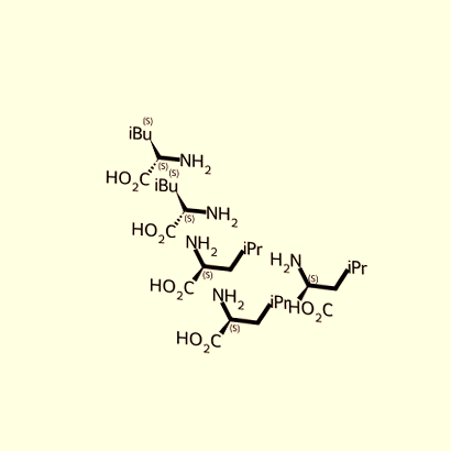 CC(C)C[C@H](N)C(=O)O.CC(C)C[C@H](N)C(=O)O.CC(C)C[C@H](N)C(=O)O.CC[C@H](C)[C@H](N)C(=O)O.CC[C@H](C)[C@H](N)C(=O)O